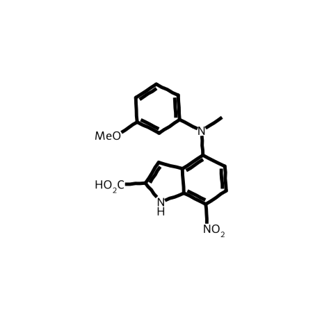 COc1cccc(N(C)c2ccc([N+](=O)[O-])c3[nH]c(C(=O)O)cc23)c1